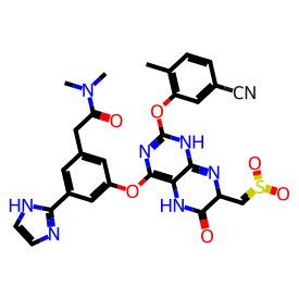 Cc1ccc(C#N)cc1OC1=NC(Oc2cc(CC(=O)N(C)C)cc(-c3ncc[nH]3)c2)=C2NC(=O)C(C=S(=O)=O)N=C2N1